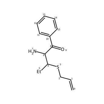 C=CCSC(CC)C(N)C(=O)c1ccccc1